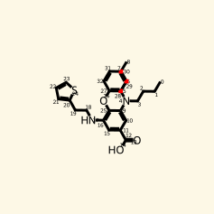 CCCCN(CCCC)c1cc(C(=O)O)cc(NCCc2cccs2)c1Oc1ccccc1